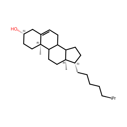 CC(C)CCCCC[C@H]1CCC2C3CC=C4C[C@@H](O)CC[C@]4(C)C3CC[C@@]21C